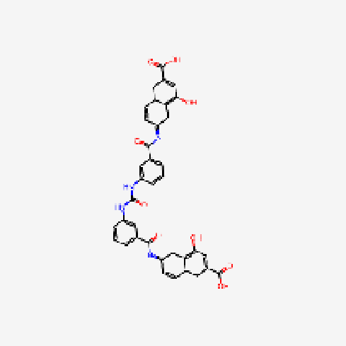 O=C(Nc1cccc(C(=O)N=C2C=CC3CC(C(=O)O)=CC(O)=C3C2)c1)Nc1cccc(C(=O)N=C2C=CC3CC(C(=O)O)=CC(O)=C3C2)c1